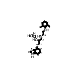 Cc1cccc(C)c1NCCNCC(O)COc1cccc2[nH]cnc12.Cl.Cl